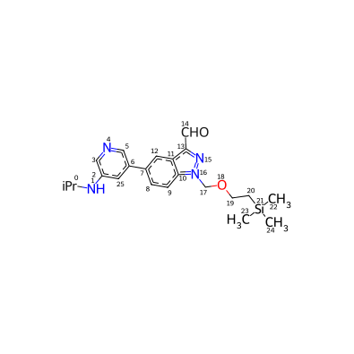 CC(C)Nc1cncc(-c2ccc3c(c2)c(C=O)nn3COCC[Si](C)(C)C)c1